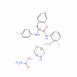 NC(=O)OC[C@@H]1CO[C@H](CCc2c(F)cccc2NC(=O)[C@H](Cc2ccc(F)cc2)Nc2ccc(F)cc2)CN1